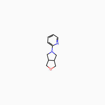 [c]1ccnc(N2CC3COCC3C2)c1